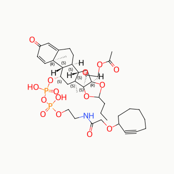 CCCC1O[C@@H]2C[C@H]3[C@@H]4CCC5=CC(=O)C=C[C@]5(C)[C@H]4[C@@H](OP(=O)(O)OP(=O)(O)OCCNC(=O)COC4C#CCCCCC4)C[C@]3(C)[C@]2(C(=O)COC(C)=O)O1